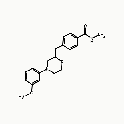 COc1cccc(N2CCSC(Cc3ccc(C(=O)NN)cc3)C2)c1